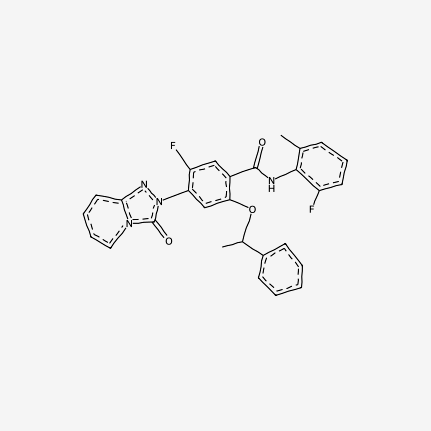 Cc1cccc(F)c1NC(=O)c1cc(F)c(-n2nc3ccccn3c2=O)cc1OC(C)c1ccccc1